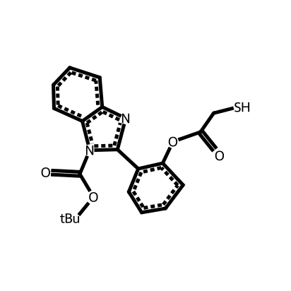 CC(C)(C)OC(=O)n1c(-c2ccccc2OC(=O)CS)nc2ccccc21